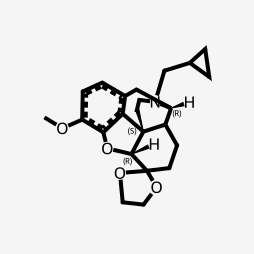 COc1ccc2c3c1O[C@H]1C4(CCC5[C@@H](C2)N(CC2CC2)CC[C@@]351)OCCO4